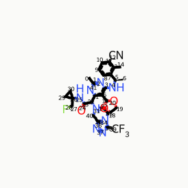 Cc1nc(N[C@H](C)c2cccc(C#N)c2C)c(C2OCCO2)c(C(C(=O)NC2(CF)CC2)N2CCn3c(nnc3C(F)(F)F)C2)n1